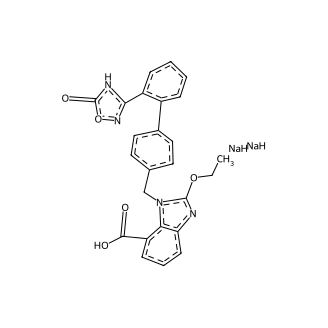 CCOc1nc2cccc(C(=O)O)c2n1Cc1ccc(-c2ccccc2-c2noc(=O)[nH]2)cc1.[NaH].[NaH]